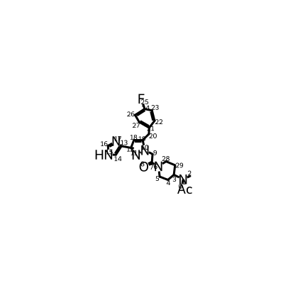 CC(=O)N(C)C1CCN(C(=O)Cn2nc(-c3c[nH]cn3)cc2Cc2ccc(F)cc2)CC1